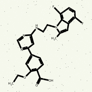 CCOc1cc(-c2cc(NCCn3c(C)cc4c(F)ccc(F)c43)ncn2)ccc1C(=O)O